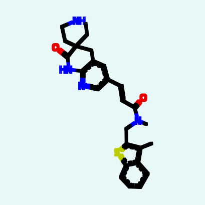 Cc1c(CN(C)C(=O)C=Cc2cnc3c(c2)CC2(CCNCC2)C(=O)N3)sc2ccccc12